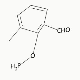 Cc1cccc(C=O)c1OP